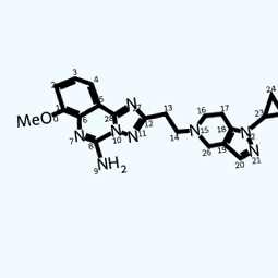 COc1cccc2c1nc(N)n1nc(CCN3CCc4c(cnn4C4CC4)C3)nc21